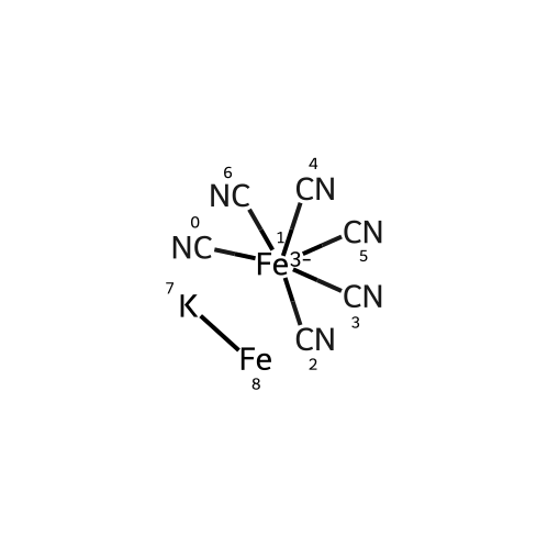 N#[C][Fe-3]([C]#N)([C]#N)([C]#N)([C]#N)[C]#N.[K][Fe]